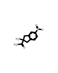 NC(=O)C1(N)Cc2ccc([N+](=O)[O-])cc2C1